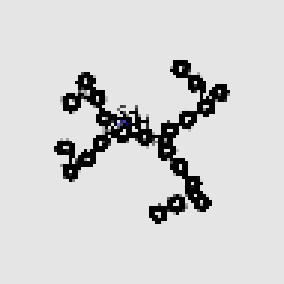 N=C1C(c2ccc(-n3c4ccc(-c5ccc(-c6ccc7c8ccccc8n(-c8ccc(-c9ccccc9)cc8)c7c6)cc5)cc4c4cc(-c5ccc(-c6ccc7c8ccccc8n(-c8ccc(-c9ccccc9)cc8)c7c6)cc5)ccc43)cc2)=CC=C(N(c2ccc(-c3ccc4c5ccccc5n(-c5ccccc5)c4c3)cc2)c2ccc(-c3ccc4c5ccccc5n(-c5ccccc5)c4c3)cc2)/C1=N/S